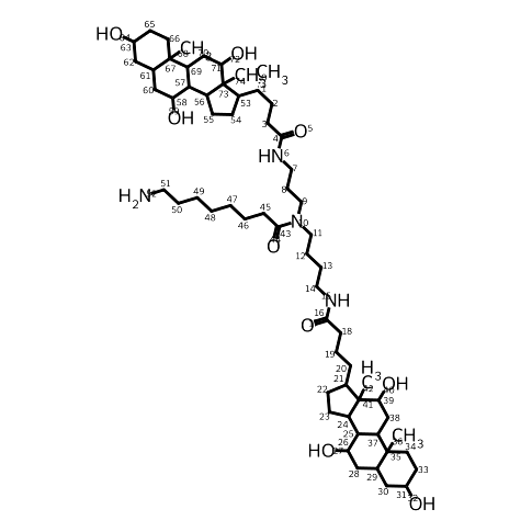 C[C@H](CCC(=O)NCCCN(CCCCNC(=O)CCCC1CCC2C3C(O)CC4CC(O)CCC4(C)C3CC(O)C12C)C(=O)CCCCCCCN)C1CCC2C3C(O)CC4CC(O)CCC4(C)C3CC(O)C21C